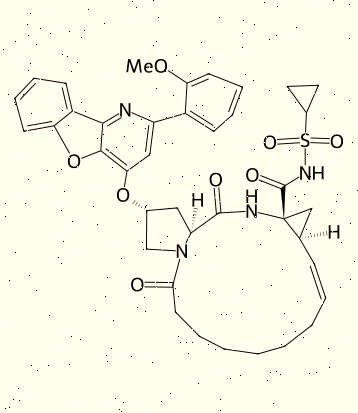 COc1ccccc1-c1cc(O[C@@H]2C[C@H]3C(=O)N[C@]4(C(=O)NS(=O)(=O)C5CC5)C[C@H]4/C=C\CCCCCCC(=O)N3C2)c2oc3ccccc3c2n1